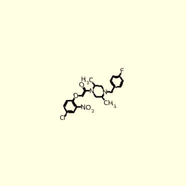 CC1CN(C(=O)COc2ccc(Cl)cc2[N+](=O)[O-])C(C)CN1Cc1ccc(F)cc1